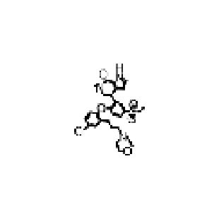 CCS(=O)(=O)c1ccc(Oc2ccc(Cl)cc2CCCN2CCOCC2)c(-c2cn(C)c(=O)c3[nH]ccc23)c1